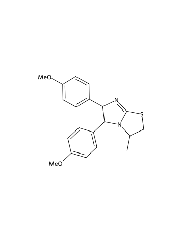 COc1ccc(C2N=C3SCC(C)N3C2c2ccc(OC)cc2)cc1